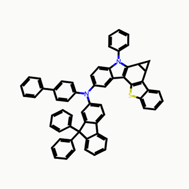 c1ccc(-c2ccc(N(c3ccc4c(c3)C(c3ccccc3)(c3ccccc3)c3ccccc3-4)c3ccc4c(c3)c3c(n4-c4ccccc4)C4CC4c4c-3sc3ccccc43)cc2)cc1